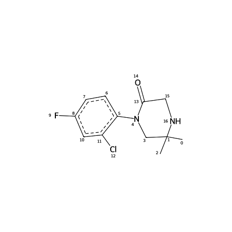 CC1(C)CN(c2ccc(F)cc2Cl)C(=O)CN1